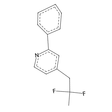 CC(F)(F)Cc1ccnc(-c2ccccc2)c1